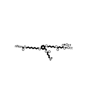 CCCCCCCCCC(=O)OCCCCCCCCOc1ccc(OCCCCCOC(=O)CCC(OCCCCCCCC)OCCCCCCCC)c(COC(=O)CCCN(C)C)c1